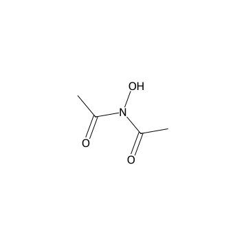 CC(=O)N(O)C(C)=O